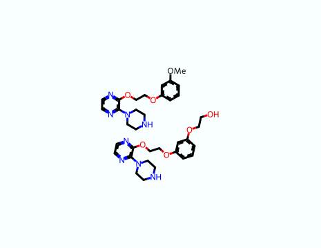 COc1cccc(OCCOc2nccnc2N2CCNCC2)c1.OCCOc1cccc(OCCOc2nccnc2N2CCNCC2)c1